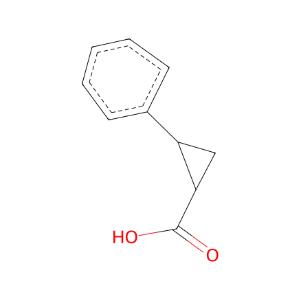 O=C(O)C1CC1c1ccccc1